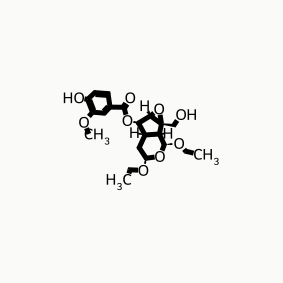 CCO[C@@H]1C[C@H]2[C@H](OC(=O)c3ccc(O)c(OC)c3)[C@@H]3O[C@]3(CO)[C@H]2[C@H](OCC)O1